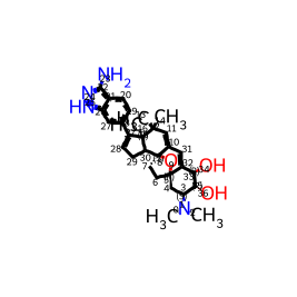 CN(C)[C@H]1C[C@@]23CC[C@@]4(O2)C(=CC(C)(C)[C@]2(C)C(c5ccc6c(N)n[nH]c6c5)=CCC42)C=C3[C@@H](O)[C@@H]1O